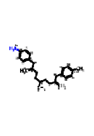 C=C(CCC(C)CCC(=C)Cc1ccc(N)cc1)Cc1ccc(C)cc1